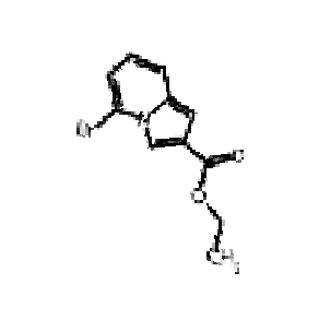 CCOC(=O)c1cc2cccc(Br)n2c1